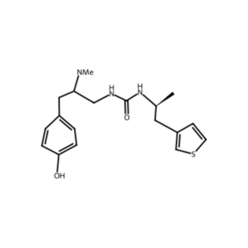 CNC(CNC(=O)N[C@@H](C)Cc1ccsc1)Cc1ccc(O)cc1